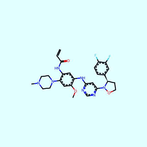 C=CC(=O)Nc1cc(Nc2cc(N3OCC[C@@H]3c3ccc(F)c(F)c3)ncn2)c(OC)cc1N1CCN(C)CC1